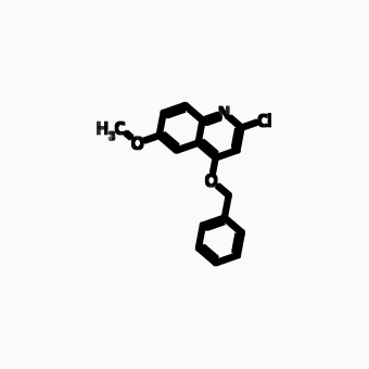 COc1ccc2nc(Cl)cc(OCc3ccccc3)c2c1